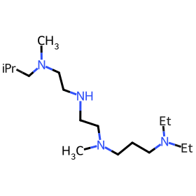 CCN(CC)CCCN(C)CCNCCN(C)CC(C)C